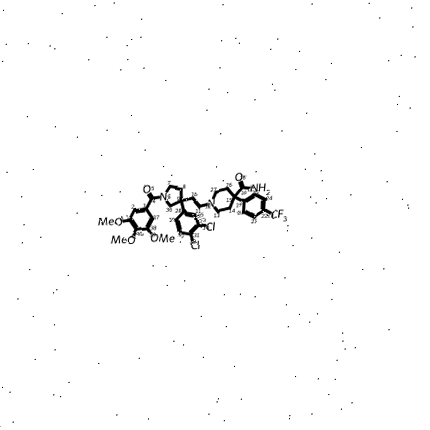 COc1cc(C(=O)N2CCC(CCN3CCC(C(N)=O)(c4ccc(C(F)(F)F)cc4)CC3)(c3ccc(Cl)c(Cl)c3)C2)cc(OC)c1OC